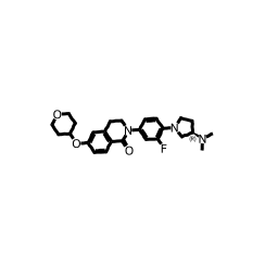 CN(C)[C@@H]1CCN(c2ccc(N3CCc4cc(OC5CCOCC5)ccc4C3=O)cc2F)C1